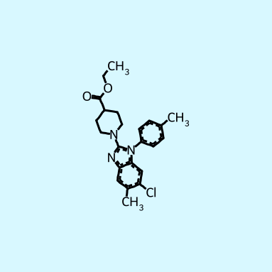 CCOC(=O)C1CCN(c2nc3cc(C)c(Cl)cc3n2-c2ccc(C)cc2)CC1